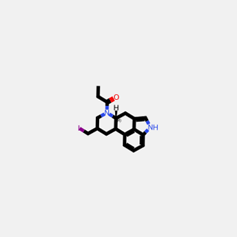 CCC(=O)N1CC(CI)CC2c3cccc4[nH]cc(c34)C[C@H]21